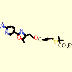 CCOC(=O)C(C)(C)SCC#CCOCCc1nc(-c2ccc(N(C)C)nc2)oc1C